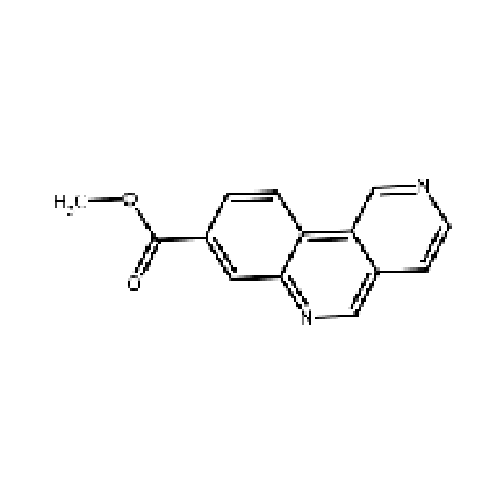 COC(=O)c1ccc2c(c1)ncc1ccncc12